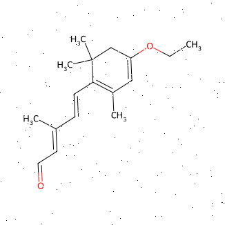 CCOC1=CC(C)=C(/C=C/C(C)=C/C=O)C(C)(C)C1